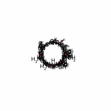 CCCCC[C@H]1C(=O)N[C@@H](CC(C)C)C(=O)NCCCCC(=O)N[C@@H](Cc2ccc(OC)cc2)C(=O)N2CCCC[C@H]2C(=O)N[C@@H](CC(N)=O)C(=O)N2CCC[C@H]2C(=O)N[C@@H](CN)C(=O)N[C@@H](CC(C)C)C(=O)N2C[C@H](O)C[C@H]2C(=O)N[C@@H](Cc2c[nH]c3ccccc23)C(=O)N[C@@H](CCN)C(=O)N[C@@H](Cc2cn(CC(=O)O)c3ccccc23)C(=O)N(C)[C@@H](CCCC)C(=O)N1C